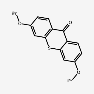 CC(C)Oc1ccc2c(=O)c3ccc(OC(C)C)cc3sc2c1